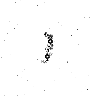 CCc1ccc(OCC(=O)NC(=S)Nc2ccc(S(=O)(=O)Nc3nccs3)cc2)c(Br)c1